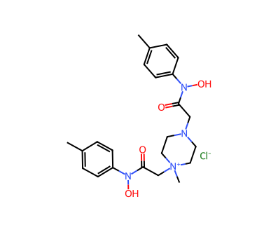 Cc1ccc(N(O)C(=O)CN2CC[N+](C)(CC(=O)N(O)c3ccc(C)cc3)CC2)cc1.[Cl-]